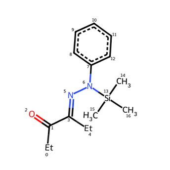 CCC(=O)C(CC)=NN(c1ccccc1)[Si](C)(C)C